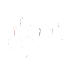 CCOc1cccc(OC(=O)CC)c1COc1cc(C)c(CC)cc1Cl